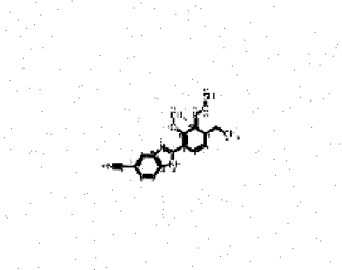 CCC1C=CC(c2nc3cc(C#N)ccc3[nH]2)=C(OC)C1=NOS